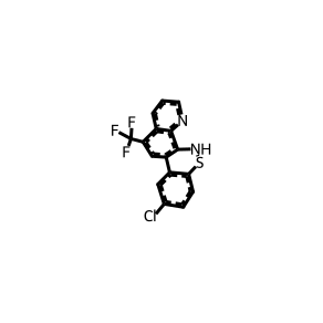 FC(F)(F)c1cc2c(c3ncccc13)NSc1ccc(Cl)cc1-2